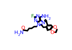 C#Cc1cc2c(cc1Cc1nc3c(N)nc(F)nc3n1CCCCCC(N)=O)OCCO2